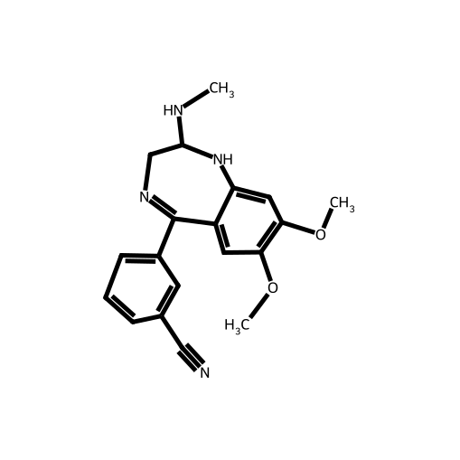 CNC1CN=C(c2cccc(C#N)c2)c2cc(OC)c(OC)cc2N1